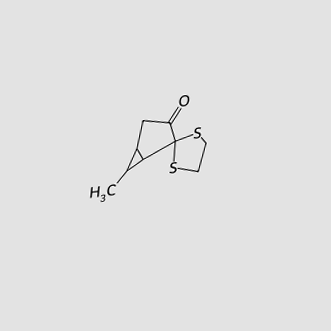 CC1C2CC(=O)C3(SCCS3)C12